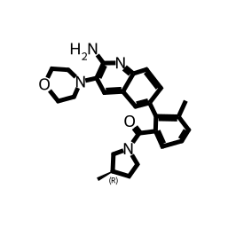 Cc1cccc(C(=O)N2CC[C@@H](C)C2)c1-c1ccc2nc(N)c(N3CCOCC3)cc2c1